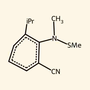 CSN(C)c1c(C#N)cccc1C(C)C